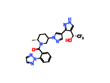 C[C@@H]1CC[C@@H](n2cc(-c3n[nH]cc3[C@@H](O)C(F)(F)F)cn2)CN1C(=O)c1ccccc1-n1nccn1